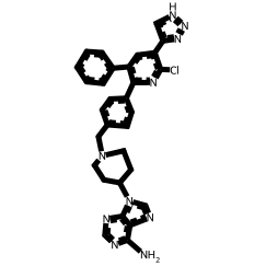 Nc1ncnc2c1ncn2C1CCN(Cc2ccc(-c3nc(Cl)c(-c4c[nH]nn4)cc3-c3ccccc3)cc2)CC1